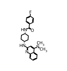 CN(C)c1cc(N[C@H]2CC[C@@H](NC(=O)c3ccc(F)cc3)CC2)nc2ccccc12